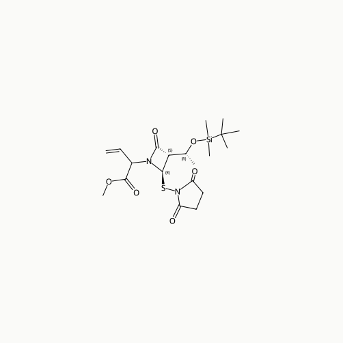 C=CC(C(=O)OC)N1C(=O)[C@H]([C@@H](C)O[Si](C)(C)C(C)(C)C)[C@H]1SN1C(=O)CCC1=O